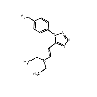 CCN(C=Cc1nnnn1-c1ccc(C)cc1)CC